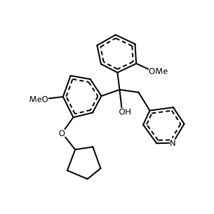 COc1ccc(C(O)(Cc2ccncc2)c2ccccc2OC)cc1OC1CCCC1